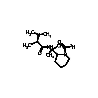 [2H]C(=O)N1CCCCC1C(C)(C)NC(=O)C(C)N(C)C